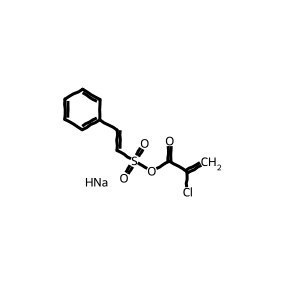 C=C(Cl)C(=O)OS(=O)(=O)C=Cc1ccccc1.[NaH]